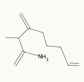 C=CCCCC(=C)C(C)C(=C)N